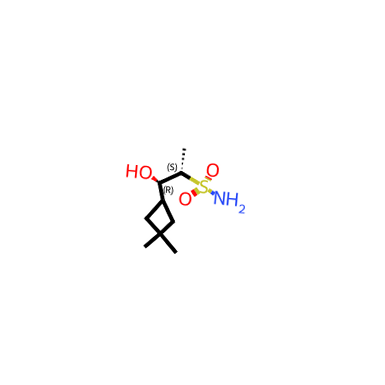 C[C@@H]([C@H](O)C1CC(C)(C)C1)S(N)(=O)=O